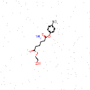 N.O=C(CCCCC(=O)Oc1ccc([N+](=O)[O-])cc1)OCCO